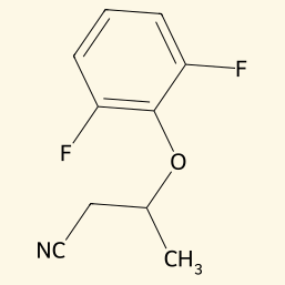 CC(CC#N)Oc1c(F)cccc1F